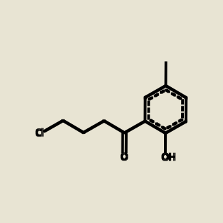 Cc1ccc(O)c(C(=O)CCCCl)c1